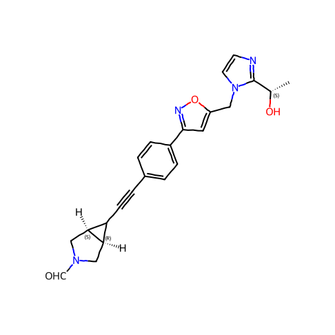 C[C@H](O)c1nccn1Cc1cc(-c2ccc(C#CC3[C@H]4CN(C=O)C[C@@H]34)cc2)no1